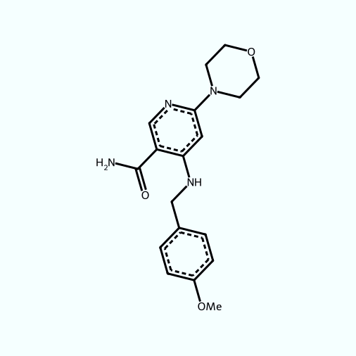 COc1ccc(CNc2cc(N3CCOCC3)ncc2C(N)=O)cc1